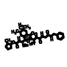 CCCC(NC(=O)[C@@H]1CC(C)(C)C(C)CN1C(=O)[C@@H](NC(=O)OC1CCCC1C)C(C)(C)C)C(=O)C(=O)NCC(=O)NCc1ccccc1